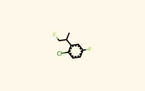 C[C](CF)c1cc(F)ccc1Cl